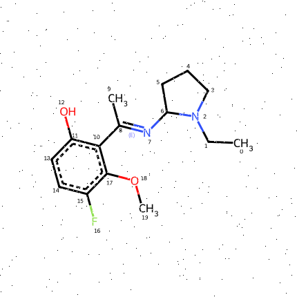 CCN1CCCC1/N=C(\C)c1c(O)ccc(F)c1OC